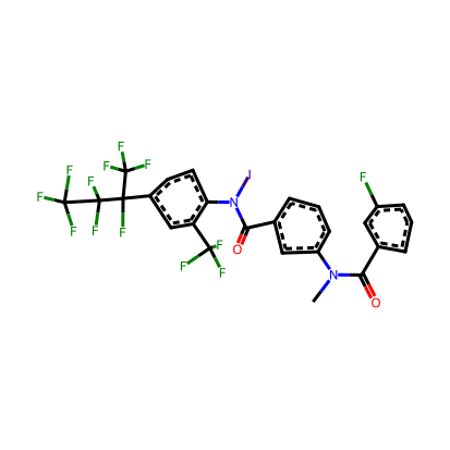 CN(C(=O)c1cccc(F)c1)c1cccc(C(=O)N(I)c2ccc(C(F)(C(F)(F)F)C(F)(F)C(F)(F)F)cc2C(F)(F)F)c1